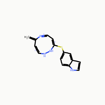 C=C1/C=C\NN/C(Sc2ccc3[nH]ccc3c2)=C\C=N/1